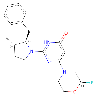 C[C@H]1CCN(c2nc(N3CCO[C@H](F)C3)cc(=O)[nH]2)[C@@H]1Cc1ccccc1